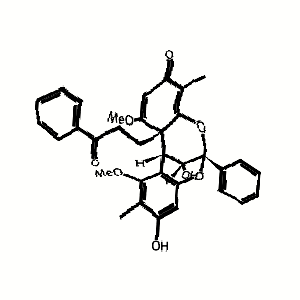 COC1=CC(=O)C(C)=C2O[C@]3(c4ccccc4)Oc4cc(O)c(C)c(OC)c4[C@@H]([C@H]3O)[C@]12CCC(=O)c1ccccc1